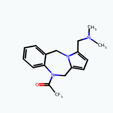 CN(C)Cc1ccc2n1Cc1ccccc1N(C(=O)C(F)(F)F)C2